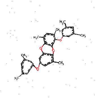 Cc1cc(C)cc(Oc2cc(C)c3c(c2)Oc2c(C)cc(C)c(Oc4cc(C)cc(C)c4)c2O3)c1